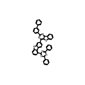 c1ccc(-c2cccc(-c3nc(-c4ccc5c(c4)sc4cccc(-c6nc(-c7ccccc7)nc(-c7ccccc7)n6)c45)c4sc5ccccc5c4n3)c2)cc1